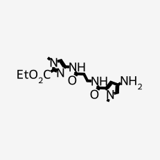 CCOC(=O)c1nc(NC(=O)CCNC(=O)c2cc(N)cn2C)cn1C